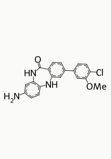 COc1cc(-c2ccc3c(c2)Nc2ccc(N)cc2NC3=O)ccc1Cl